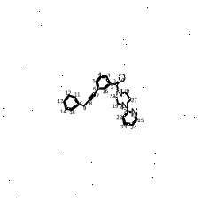 O=C(c1cccc(C#CCc2ccccc2)c1)N1CCN(c2ccccn2)CC1